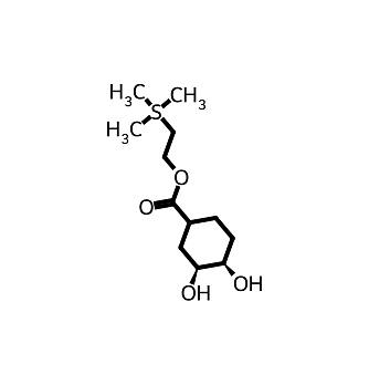 CS(C)(C)CCOC(=O)C1CC[C@@H](O)[C@@H](O)C1